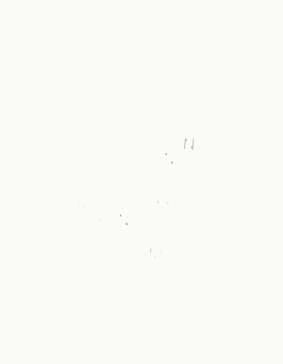 O=C1c2ccccc2C(=O)N1COC1=NN(c2ccccc2)CC1